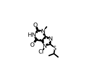 CC(C)Sc1nc2c(c(=O)[nH]c(=O)n2C)n1Cl